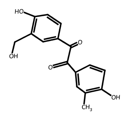 Cc1cc(C(=O)C(=O)c2ccc(O)c(CO)c2)ccc1O